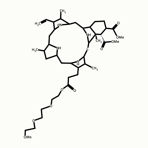 C=CC1C2CC3NC(CC3C)CC3NC(CC4NC(CC(N2)C1C)C1CCC(C(=O)OC)[C@H](C(=O)OC)[C@]41C)C(C)C3CCC(=O)OCCOCCOCCOC